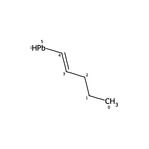 CCCC=[CH][PbH]